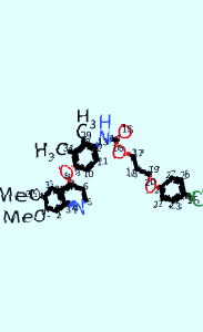 COc1cc2nccc(Oc3ccc(NC(=O)OCCCOc4ccc(Cl)cc4)c(C)c3C)c2cc1OC